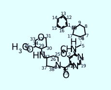 COc1c(NC[C@H]2CCC[C@@H](c3ccccc3)C2)ncnc1C(=O)N1CCC(NC2CCOCC2OC)CC1